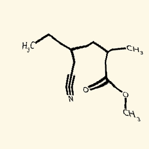 CCC(C#N)CC(C)C(=O)OC